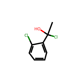 CC(O)(Cl)c1ccccc1Cl